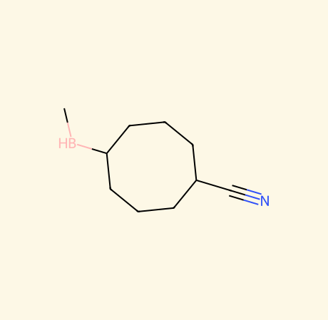 CBC1CCCC(C#N)CCC1